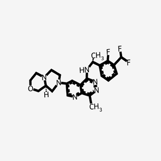 Cc1nnc(N[C@H](C)c2cccc(C(F)F)c2F)c2cc(N3CCN4CCOC[C@@H]4C3)cnc12